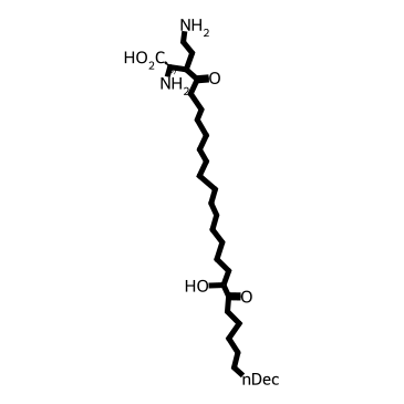 CCCCCCCCCCCCCCCC(=O)C(O)CCCCCCCCCCCCCCC(=O)C(CCN)[C@H](N)C(=O)O